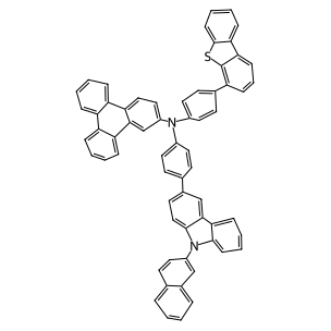 c1ccc2cc(-n3c4ccccc4c4cc(-c5ccc(N(c6ccc(-c7cccc8c7sc7ccccc78)cc6)c6ccc7c8ccccc8c8ccccc8c7c6)cc5)ccc43)ccc2c1